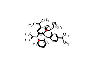 CC(C)c1ccc(N(c2ccccc2)c2ccc(C(C)C)cc2P(C(C)C)C(C)C)c(P(C(C)C)C(C)C)c1